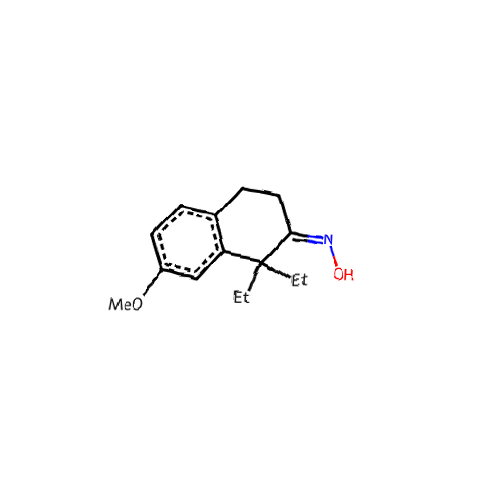 CCC1(CC)C(=NO)CCc2ccc(OC)cc21